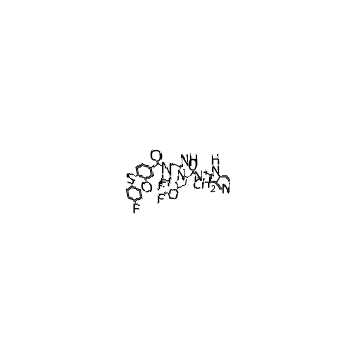 C=[N+](Cc1cc2cnccc2[nH]1)C(=O)C1C[C@@H](OC(F)F)CN1C(=N)CNC(=O)c1ccc2c(c1)Oc1cc(F)ccc1S2